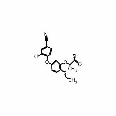 CCSc1ccc(Oc2ccc(C#N)cc2Cl)cc1OC(C)C(=O)S